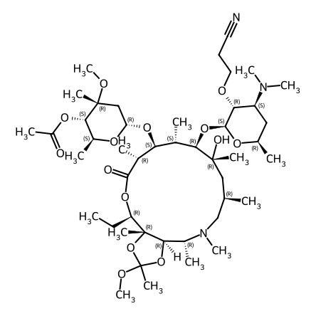 CC[C@H]1OC(=O)[C@H](C)[C@@H](O[C@H]2C[C@@](C)(OC)[C@@H](OC(C)=O)[C@H](C)O2)[C@H](C)[C@@H](O[C@@H]2O[C@H](C)C[C@H](N(C)C)[C@H]2OCCC#N)[C@](C)(O)C[C@@H](C)CN(C)[C@H](C)[C@H]2OC(C)(OC)O[C@@]21C